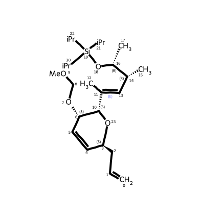 C=CC[C@H]1C=C[C@H](OCOC)[C@H](/C(C)=C/[C@@H](C)[C@@H](C)O[Si](C(C)C)(C(C)C)C(C)C)O1